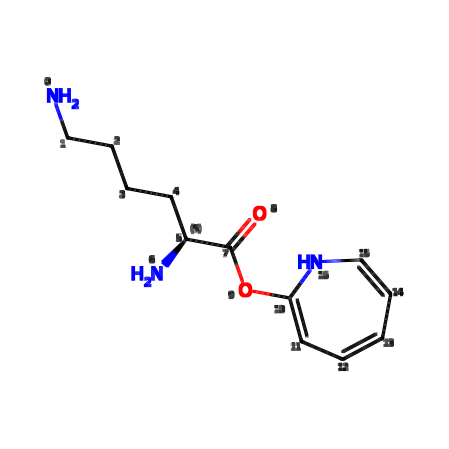 NCCCC[C@H](N)C(=O)OC1=CC=CC=CN1